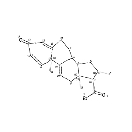 CCC(=O)[C@H]1[C@@H](C)CC2C3CCC4=CC(=O)C=C[C@]4(C)C3=CC[C@@]21C